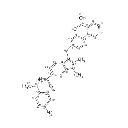 Cc1c(C)n(Cc2ccc(C3=CC=C=C=C3C(=O)O)cc2)c2ccc(C(=O)NC(C)c3ccc(Br)cc3)cc12